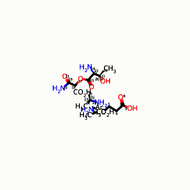 CC(=O)O.CC(N)=O.CCCC(=O)O.C[C@@H](O)[C@H](N)C(=O)OCC(N)=O.C[C@H](N)C(=O)O